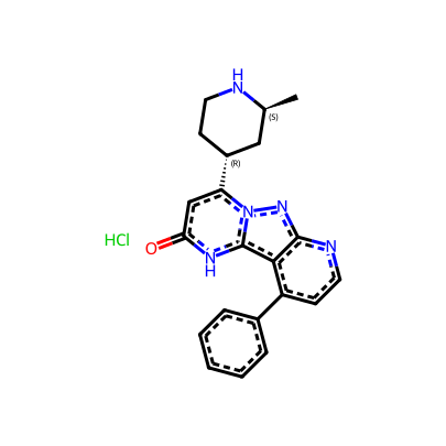 C[C@H]1C[C@H](c2cc(=O)[nH]c3c4c(-c5ccccc5)ccnc4nn23)CCN1.Cl